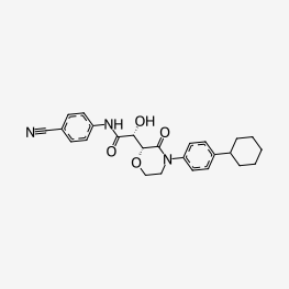 N#Cc1ccc(NC(=O)[C@H](O)[C@H]2OCCN(c3ccc(C4CCCCC4)cc3)C2=O)cc1